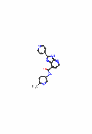 Cc1ccc(NC(=O)c2ccnc3[nH]c(-c4ccncc4)nc23)cn1